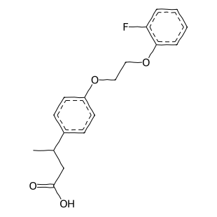 CC(CC(=O)O)c1ccc(OCCOc2ccccc2F)cc1